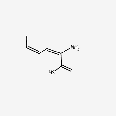 C=C(S)/C(N)=C\C=C/C